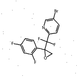 Fc1ccc(C2(C(F)(F)c3ccc(Br)cn3)CO2)c(F)c1